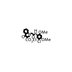 CCOC(=O)c1cn(CC(=O)Nc2cc(Cl)c(OC)cc2OC)c2ccccc2c1=O